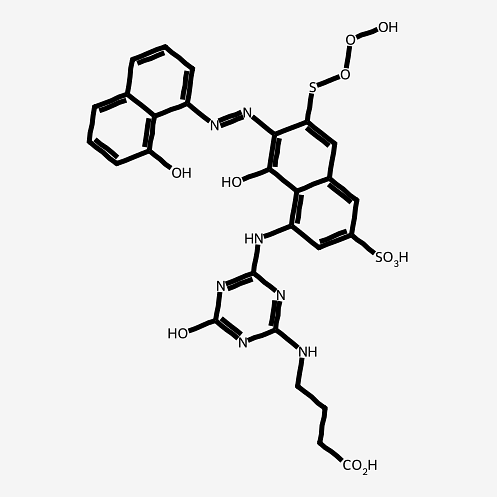 O=C(O)CCCNc1nc(O)nc(Nc2cc(S(=O)(=O)O)cc3cc(SOOO)c(N=Nc4cccc5cccc(O)c45)c(O)c23)n1